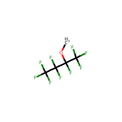 COC(F)(C(F)(F)F)C(F)(F)C(F)(F)F